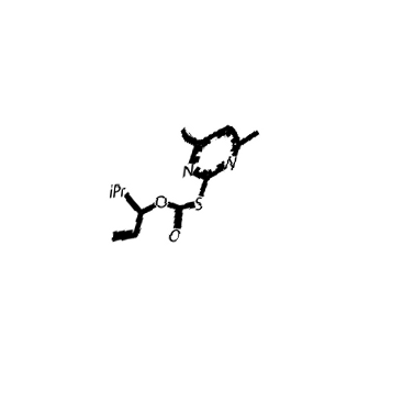 C=CC(OC(=O)Sc1nc(C)cc(C)n1)C(C)C